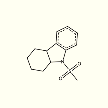 CS(=O)(=O)N1c2ccccc2C2CCCCC21